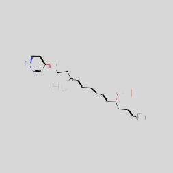 CCC=CCC(O)C=CC=CC=CC(O)CCOc1ccncc1